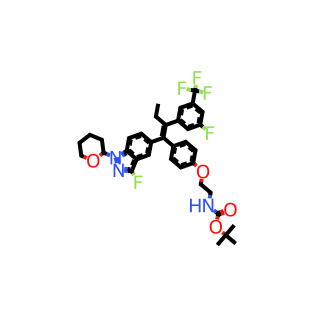 CC/C(=C(/c1ccc(OCCNC(=O)OC(C)(C)C)cc1)c1ccc2c(c1)c(F)nn2C1CCCCO1)c1cc(F)cc(C(F)(F)F)c1